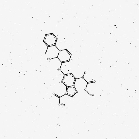 COC(=O)c1cnn2c(N(C)C(=O)OC(C)(C)C)cc(NC3=CC=CN(c4ncccc4F)C3O)nc12